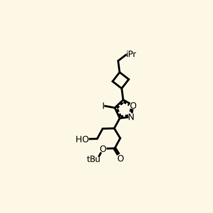 CC(C)CC1CC(c2onc(C(CCO)CC(=O)OC(C)(C)C)c2I)C1